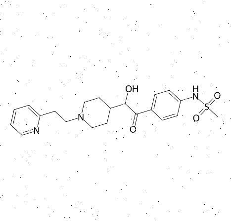 CS(=O)(=O)Nc1ccc(C(=O)C(O)C2CCN(CCc3ccccn3)CC2)cc1